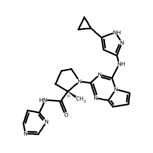 C[C@@]1(C(=O)Nc2ccncn2)CCCN1c1nc(Nc2cc(C3CC3)[nH]n2)n2cccc2n1